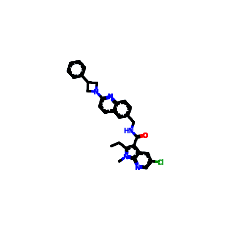 CCc1c(C(=O)NCc2ccc3nc(N4CC(c5ccccc5)C4)ccc3c2)c2cc(Cl)cnc2n1C